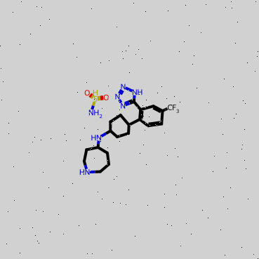 FC(F)(F)c1ccc(C2CCC(NC3CCCNCC3)CC2)c(-c2nnn[nH]2)c1.N[SH](=O)=O